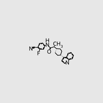 C[C@@H](C(=O)Nc1ccc(C#N)c(F)c1)[C@H]1CC[C@@H](c2ccnc3ccccc32)CC1